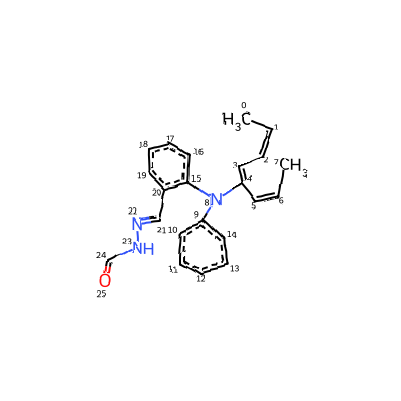 C\C=C/C=C(\C=C/C)N(c1ccccc1)c1ccccc1/C=N/NC=O